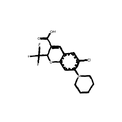 O=C(O)C1=Cc2cc(Cl)c(N3CCCCC3)cc2OC1C(F)(F)F